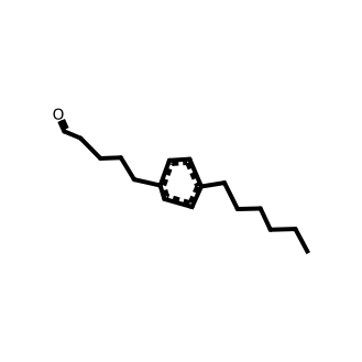 CCCCCCc1ccc(CCCCC=O)cc1